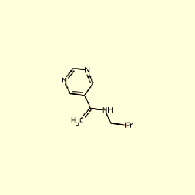 C=C(NCC(C)C)c1cncnc1